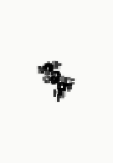 CN(C)c1ccc(Br)c([C@@H]2C=C[C@H]3[C@@H](c4cc(C(F)(F)F)cc(C(F)(F)F)c4)CC(=O)N23)n1